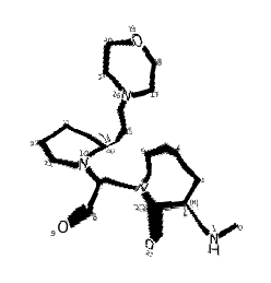 CN[C@@H]1CCCN(C(C=O)N2CCC[C@H]2CN2CCOCC2)C1=O